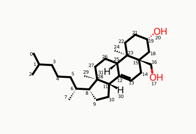 CC(C)CCC[C@@H](C)[C@H]1CC[C@H]2C3=CC[C@@]4(CO)C[C@@H](O)CC[C@]4(C)[C@H]3CC[C@]12C